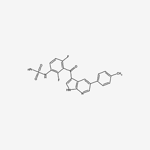 CCCS(=O)(=O)Nc1ccc(F)c(C(=O)c2c[nH]c3ncc(-c4ccc(C)cc4)cc23)c1F